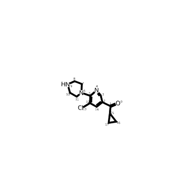 O=C(c1cnc(N2CCNCC2)c(Cl)c1)C1CC1